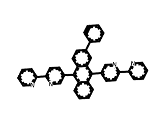 c1cccc(-c2ccc3c(-c4ccc(-c5ccccn5)nc4)c4ccccc4c(-c4ccc(-c5ccccn5)nc4)c3c2)c#1